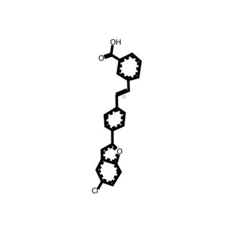 O=C(O)c1cccc(/C=C/c2ccc(-c3cc4cc(Cl)ccc4o3)cc2)c1